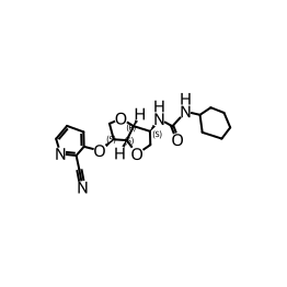 N#Cc1ncccc1O[C@H]1CO[C@H]2[C@@H]1OC[C@@H]2NC(=O)NC1CCCCC1